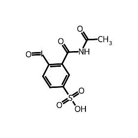 CC(=O)NC(=O)c1cc(S(=O)(=O)O)ccc1I=O